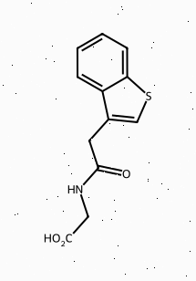 O=C(O)CNC(=O)Cc1csc2ccccc12